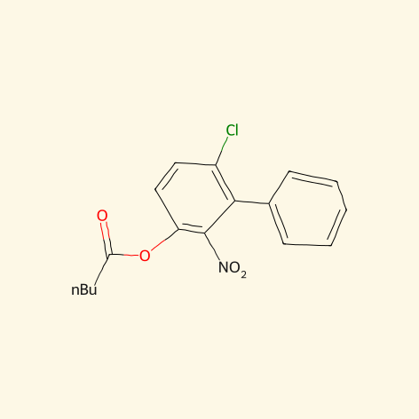 CCCCC(=O)Oc1ccc(Cl)c(-c2ccccc2)c1[N+](=O)[O-]